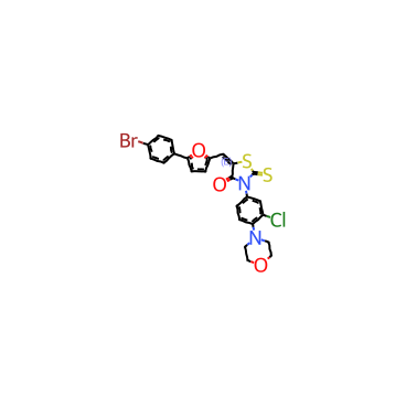 O=C1/C(=C\c2ccc(-c3ccc(Br)cc3)o2)SC(=S)N1c1ccc(N2CCOCC2)c(Cl)c1